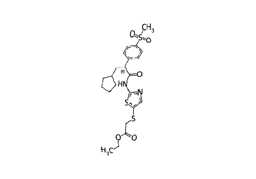 CCOC(=O)CSc1cnc(NC(=O)[C@H](CC2CCCC2)c2ccc(S(C)(=O)=O)cc2)s1